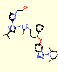 CC(C)c1cc(NC(=O)NC2CCC(Oc3ccc4nnc(N5[C@H](C)CCC[C@@H]5C)n4c3)c3ccccc32)n(-c2ccn(CCO)n2)n1